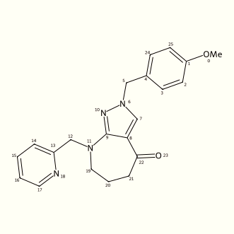 COc1ccc(Cn2cc3c(n2)N(Cc2ccccn2)CCCC3=O)cc1